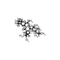 [2H]C1([2H])C(CC(NC(=O)[C@@H]2[C@@H]3[C@H](CN2C(=O)[C@@H](NC(=O)NC(C)(C)C)C(C)(C)C)C3(C)C)C(=O)C(N)=O)C([2H])([2H])C1([2H])[2H]